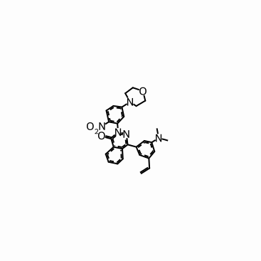 C=Cc1cc(-c2nn(-c3cc(N4CCOCC4)ccc3[N+](=O)[O-])c(=O)c3ccccc23)cc(N(C)C)c1